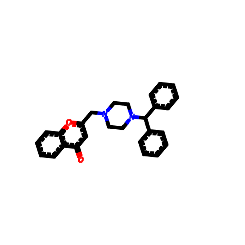 O=c1cc(CN2CCN(C(c3ccccc3)c3ccccc3)CC2)oc2ccccc12